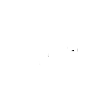 [2H][C@@H]1CCN(CC)C1